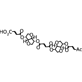 CC(=O)/C=C/C(=O)O[C@@H]1CO[C@H]2[C@@H]1OC[C@H]2OC(=O)/C=C/C(=O)O[C@@H]1CO[C@H]2[C@@H]1OC[C@H]2OC(=O)/C=C/C(=O)O